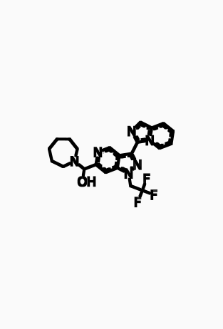 OC(c1cc2c(cn1)c(-c1ncc3ccccn13)nn2CC(F)(F)F)N1CCCCCC1